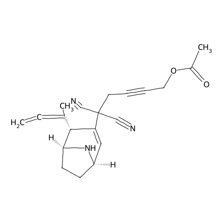 C=C=C(C)[C@@H]1C(C(C#N)(C#N)CC#CCOC(C)=O)=C[C@H]2CC[C@@H]1N2